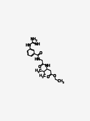 CCOC(=O)CC(NC(=O)CNC(=O)c1cccc(NC(=N)N)c1)C(C)C